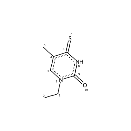 CCn1cc(C)c(=S)[nH]c1=O